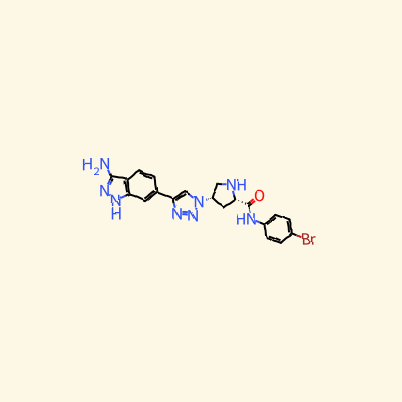 Nc1n[nH]c2cc(-c3cn([C@@H]4CN[C@H](C(=O)Nc5ccc(Br)cc5)C4)nn3)ccc12